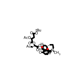 CC(=O)C[C@H](OC(=O)[C@H](CC(=O)OC(C)(C)C)OC(C)=O)C(=O)OC1=CC[C@@]2(O)[C@H]3Cc4ccc(O)c5c4[C@@]2(CCCN3C)[C@H]1O5